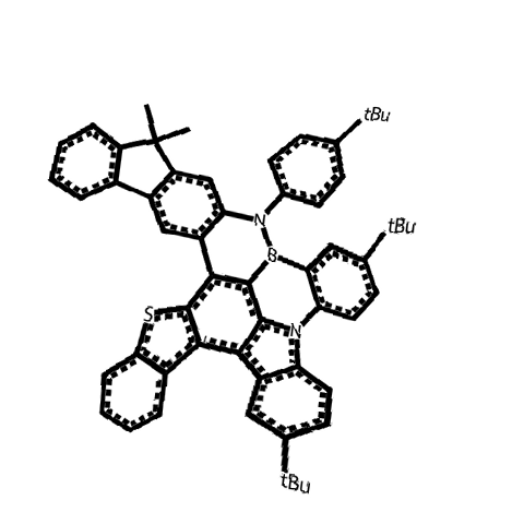 CC(C)(C)c1ccc(N2B3c4cc(C(C)(C)C)ccc4-n4c5ccc(C(C)(C)C)cc5c5c6c(sc7ccccc76)c(c3c54)-c3cc4c(cc32)C(C)(C)c2ccccc2-4)cc1